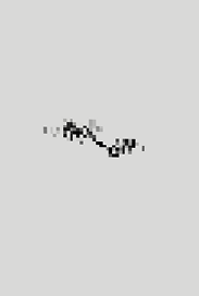 CC(C)(C)OC(=O)N1C[C@@H](CCC#Cc2cccc(S(N)(=O)=O)c2)CC1(C)C